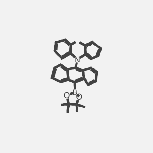 Cc1ccccc1N(c1ccccc1C)c1c2ccccc2c(B2OC(C)(C)C(C)(C)O2)c2ccccc12